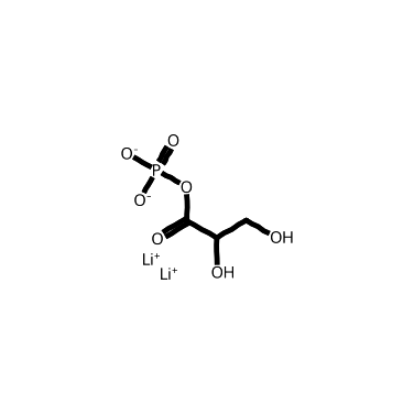 O=C(OP(=O)([O-])[O-])C(O)CO.[Li+].[Li+]